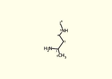 CC(N)CCNI